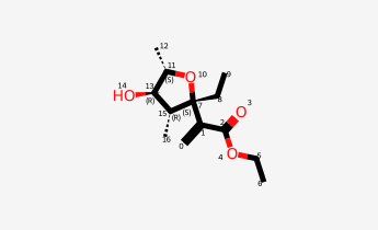 C=C(C(=O)OCC)[C@@]1(CC)O[C@@H](C)[C@H](O)[C@H]1C